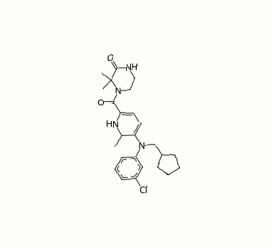 CC1NC(C(=O)N2CCNC(=O)C2(C)C)=CC=C1N(CC1CCCC1)c1cccc(Cl)c1